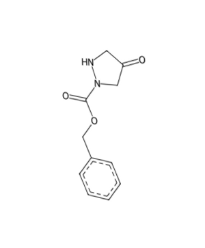 O=C1CNN(C(=O)OCc2ccccc2)C1